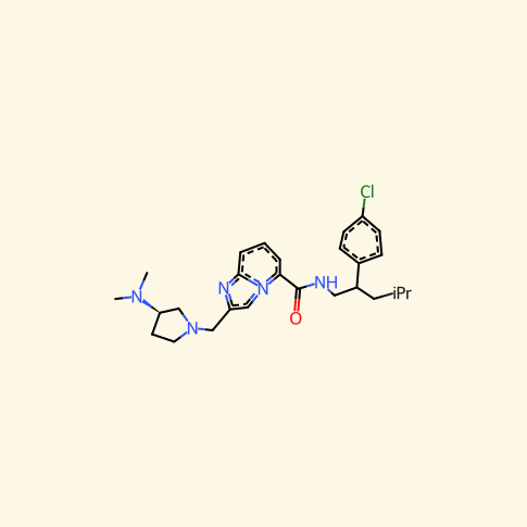 CC(C)CC(CNC(=O)c1cccc2nc(CN3CC[C@@H](N(C)C)C3)cn12)c1ccc(Cl)cc1